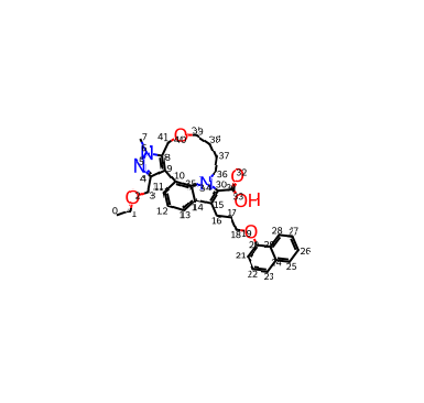 CCOCc1nn(C)c2c1-c1cccc3c(CCCOc4cccc5ccccc45)c(C(=O)O)n(c13)CCCCOC2